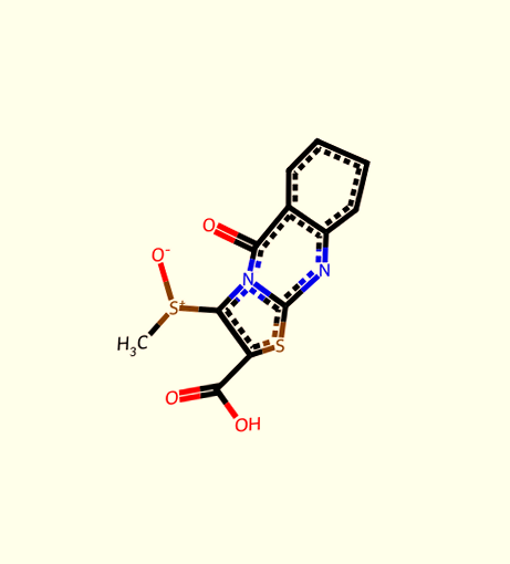 C[S+]([O-])c1c(C(=O)O)sc2nc3ccccc3c(=O)n12